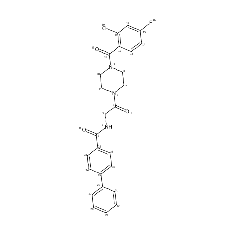 O=C(NCC(=O)N1CCN(C(=O)c2ccc(F)cc2Cl)CC1)c1ccc(-c2ccccc2)cc1